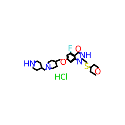 Cl.O=c1[nH]c(CSC2CCOCC2)nc2cc(OCC3CCN(CC4CCNCC4)CC3)cc(F)c12